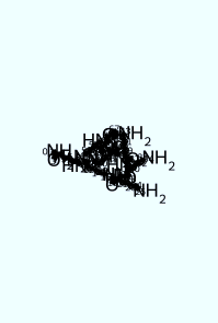 CNC(=O)CCCCCNC(=O)CCCCCNC(=O)C(CCCCN)NC(=O)C(CCCCN)NC(=O)C(CCCCN)NC(=O)C(CCCCN)NC(=O)C(CCCCN)NC(=O)OC(C)(C)C